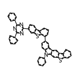 c1ccc(-c2nc(-c3ccccc3)nc(-c3ccc4c(c3)sc3c(-c5ccc6c(c5)c5cc7c(cc5n6-c5ccccc5)sc5ccccc57)cccc34)n2)cc1